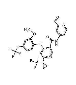 COc1cc(OC(F)(F)F)ccc1Oc1cc(C2(C(F)(F)F)CC2)ncc1C(=O)Nc1ccnc(C=O)c1